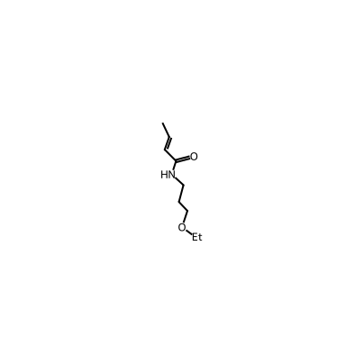 [CH2]COCCCNC(=O)C=CC